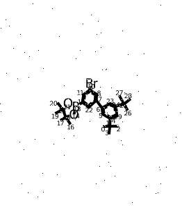 CC(C)(C)c1cc(-c2cc(Br)cc(B3OC(C)(C)C(C)(C)O3)c2)cc(C(C)(C)C)c1